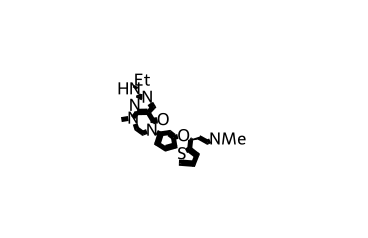 CCNc1ncc2c(n1)N(C)CCN(c1cccc(O[C@@H](CCNC)c3cccs3)c1)C2=O